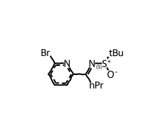 CCCC(=N[S@+]([O-])C(C)(C)C)c1cccc(Br)n1